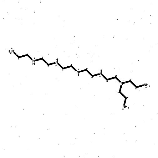 NCCNCCNCCNCCNCCN(CCN)CCN